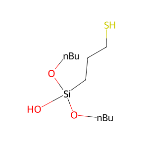 CCCCO[Si](O)(CCCS)OCCCC